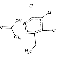 CC(=O)O.CCc1cnc(Cl)c(Cl)c1Cl